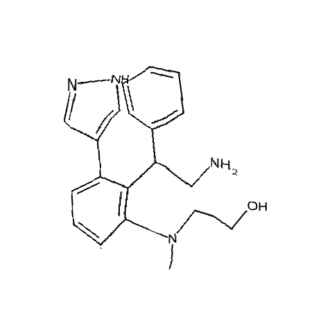 CN(CCO)c1[c]ccc(-c2cn[nH]c2)c1C(CN)c1ccccc1